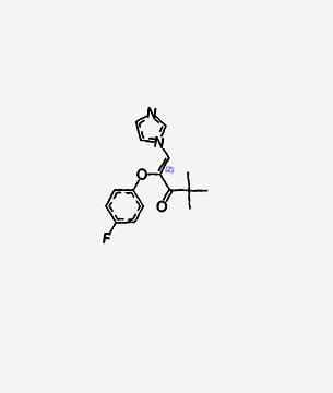 CC(C)(C)C(=O)/C(=C/n1ccnc1)Oc1ccc(F)cc1